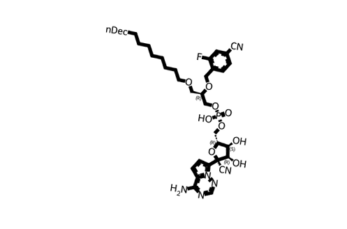 CCCCCCCCCCCCCCCCCCOC[C@H](COP(=O)(O)OC[C@H]1O[C@@](C#N)(c2ccc3c(N)ncnn23)[C@H](O)[C@@H]1O)OCc1ccc(C#N)cc1F